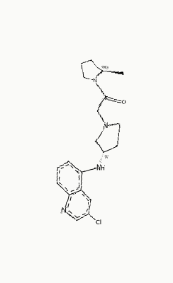 C[C@@H]1CCCN1C(=O)CN1CC[C@H](Nc2cccc3ncc(Cl)cc23)C1